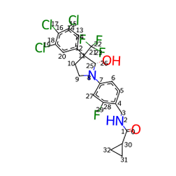 O=C(NCc1ccc(N2CCC(c3cc(Cl)c(Cl)c(Cl)c3)(C(F)(F)F)[C@@H]2O)cc1F)C1CC1